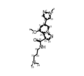 COc1cc(-c2cnn(C)c2)cn2ncc(C(=O)NCCCN(C)C)c12